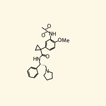 COc1ccc(C2(C(=O)N[C@H](CN3CCCC3)c3ccccc3)CC2)cc1NS(C)(=O)=O